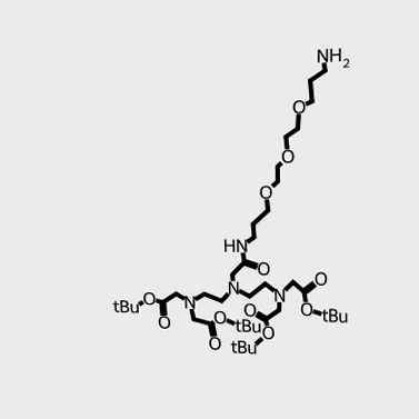 CC(C)(C)OC(=O)CN(CCN(CCN(CC(=O)OC(C)(C)C)CC(=O)OC(C)(C)C)CC(=O)NCCCOCCOCCOCCCN)CC(=O)OC(C)(C)C